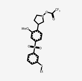 CCSc1cccc(S(=O)(=O)c2ccc(C3CCN(OC(=O)C(F)(F)F)C3)c(OC)c2)c1